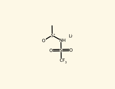 C[S+]([O-])NS(=O)(=O)C(F)(F)F.[Li]